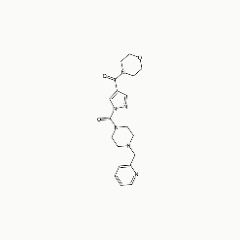 O=C(c1cnn(C(=O)N2CCN(Cc3ccccn3)CC2)c1)N1CCOCC1